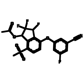 CC(=O)OC1c2c(S(C)(=O)=O)ccc(Oc3cc(F)cc(C#N)c3)c2C(F)C1(F)F